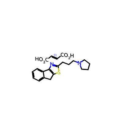 O=C(O)/C=C/C(=O)O.c1ccc2c(c1)Cc1sc(CCCN3CCCC3)nc1-2